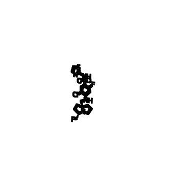 O=S(=O)(Nc1nccs1)c1cc(Cl)c(NC[C@@]23CCCN2[C@H](CF)CC3)cc1F